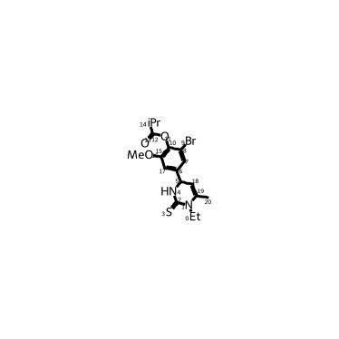 CCN1C(=S)NC(c2cc(Br)c(OC(=O)C(C)C)c(OC)c2)C=C1C